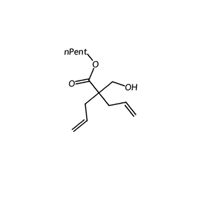 C=CCC(CO)(CC=C)C(=O)OCCCCC